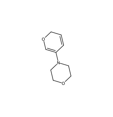 C1=CC(N2CCOCC2)=COC1